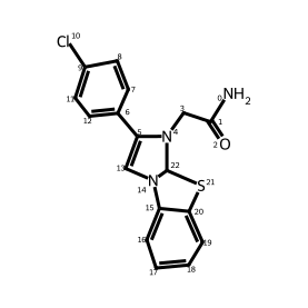 NC(=O)CN1C(c2ccc(Cl)cc2)=CN2c3ccccc3SC12